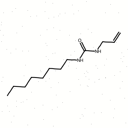 C=CCNC(=O)NCCCCCCCC